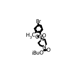 Cc1cc(Br)ccc1S(=O)(=O)N1CCN(C(=O)OCC(C)C)CC1